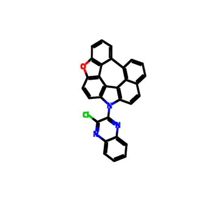 Clc1nc2ccccc2nc1-n1c2ccc3cccc4c3c2c2c3c(ccc21)oc1cccc-4c13